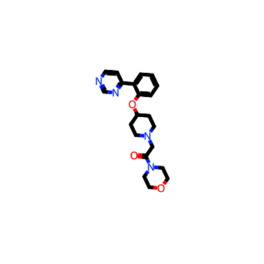 O=C(CN1CCC(Oc2ccccc2-c2ccncn2)CC1)N1CCOCC1